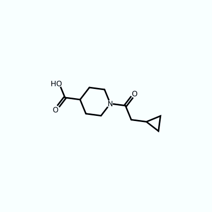 O=C(O)C1CCN(C(=O)CC2CC2)CC1